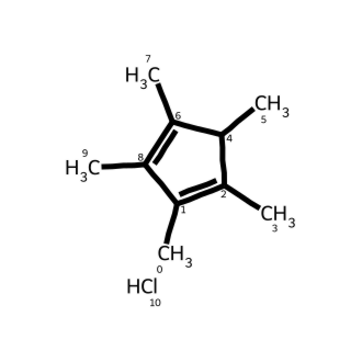 CC1=C(C)C(C)C(C)=C1C.Cl